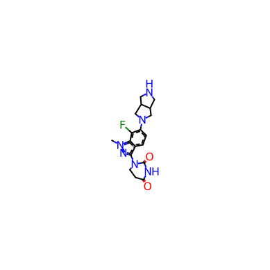 Cn1nc(N2CCC(=O)NC2=O)c2ccc(N3CC4CNCC4C3)c(F)c21